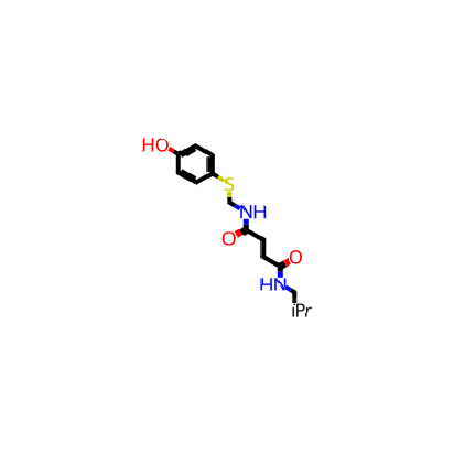 CC(C)CNC(=O)CCC(=O)NCSc1ccc(O)cc1